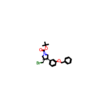 CC(C)(C)OC(=O)N1C[C@H](CBr)[C@H](c2cccc(OCc3ccccc3)c2)C1